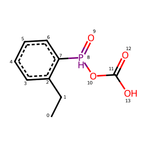 CCc1ccccc1[PH](=O)OC(=O)O